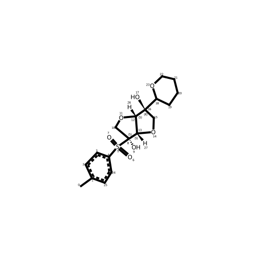 Cc1ccc(S(=O)(=O)[C@@]2(O)CO[C@H]3[C@@H]2OC[C@@]3(O)C2CCCCO2)cc1